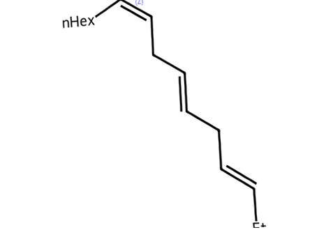 [CH2]CCCCC/C=C\CC=CCC=CCC